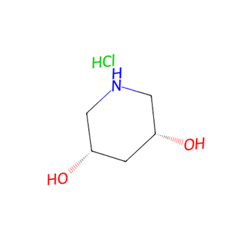 Cl.O[C@@H]1CNC[C@H](O)C1